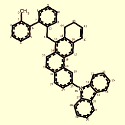 Cc1ccccc1-c1ccccc1Cc1c2c(cc3c1ccc1ccc(-n4c5ccccc5c5ccccc54)cc13)C=CCC2